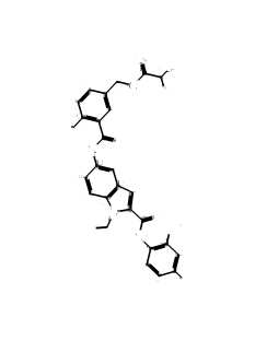 CCn1c(C(=O)Nc2ccc(Cl)cc2F)cc2cc(NC(=O)c3cc(CNC(=O)C(C)C)ccc3Cl)ccc21